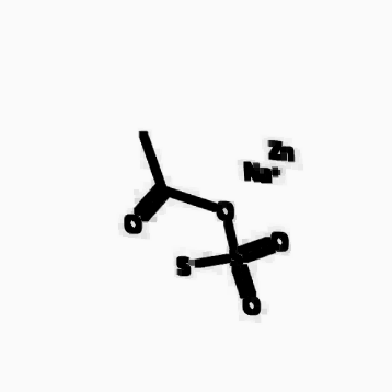 CC(=O)OS(=O)(=O)[S-].[Na+].[Zn]